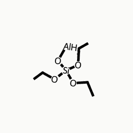 CCO[Si]([O][AlH2])(OCC)OCC